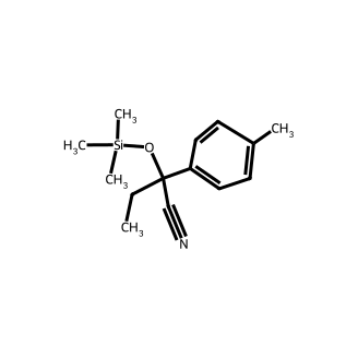 CCC(C#N)(O[Si](C)(C)C)c1ccc(C)cc1